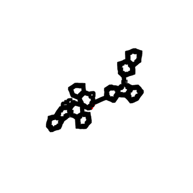 C1=CC2=C(CC1)C1(c3ccccc3-n3c4ccccc4c4cccc1c43)c1cccc(-c3ccc4c(c3)c3ccccc3n4-c3ccc4ccccc4c3)c1O2